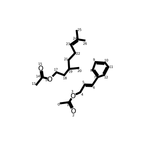 CC(=O)OCC=Cc1ccccc1.CC(=O)OCCC(C)CCC=C(C)C